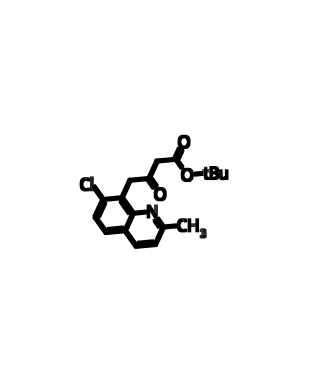 Cc1ccc2ccc(Cl)c(CC(=O)CC(=O)OC(C)(C)C)c2n1